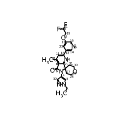 CCn1cc(N2C(=O)c3c(C)cc(-c4cncc(OCC(F)F)c4)nc3C23CCOCC3)cn1